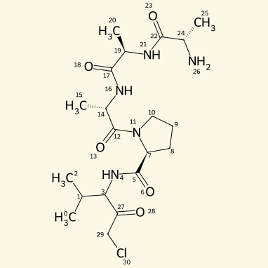 CC(C)C(NC(=O)[C@@H]1CCCN1C(=O)[C@H](C)NC(=O)[C@@H](C)NC(=O)[C@H](C)N)C(=O)CCl